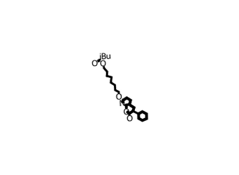 CCC(C)C(=O)OCCCCCCCCOc1ccc2cc(-c3ccccc3)c(=O)oc2n1